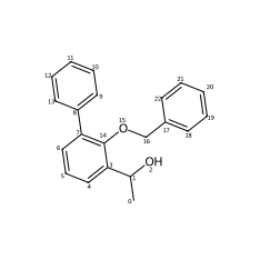 CC(O)c1cccc(-c2ccccc2)c1OCc1ccccc1